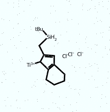 CC(C)(C)[SiH2]CC1=CC2=C(CCCC2)[CH]1[Ti+3].[Cl-].[Cl-].[Cl-]